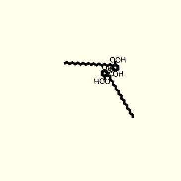 CCCCCCCCCCCCCCCCCCc1c(C(=O)O)ccc(O)c1S(=O)(=O)c1c(O)ccc(C(=O)O)c1CCCCCCCCCCCCCCCCCC